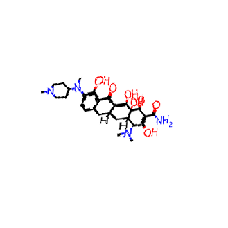 CN1CCC(N(C)c2ccc3c(c2O)C(=O)C2=C(O)[C@]4(O)C(=O)C(C(N)=O)=C(O)[C@@H](N(C)C)[C@@H]4C[C@@H]2C3)CC1